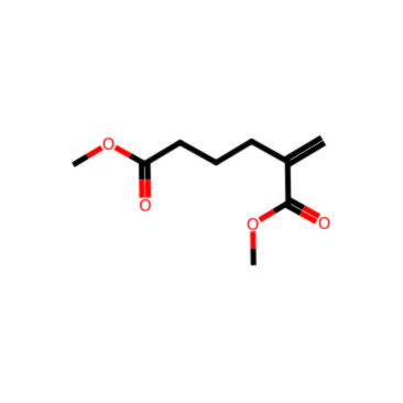 C=C(CCCC(=O)OC)C(=O)OC